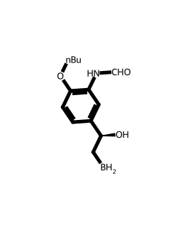 BC[C@H](O)c1ccc(OCCCC)c(NC=O)c1